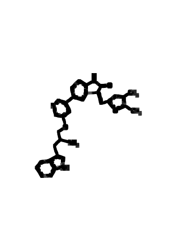 Cc1cc(C=C2C(=O)Nc3ccc(-c4cncc(OCC(N)Cc5c[nH]c6ccccc56)c4)cc32)oc1C